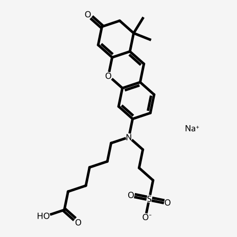 CC1(C)CC(=O)C=C2Oc3cc(N(CCCCCC(=O)O)CCCS(=O)(=O)[O-])ccc3C=C21.[Na+]